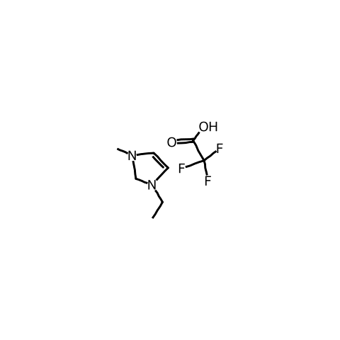 CCN1C=CN(C)C1.O=C(O)C(F)(F)F